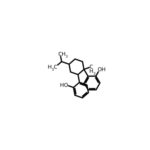 CC(C)C1CCC(C)(c2ccccc2O)C(c2ccccc2O)C1